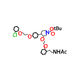 CC(=O)NCCc1ccccc1OCCOC1CN(C(=O)OC(C)(C)C)CCC1c1ccc(OCCCOc2ccccc2Cl)cc1